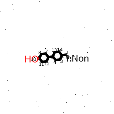 CCCCCCCCCCC1CCC(C2CCC(O)CC2)CC1